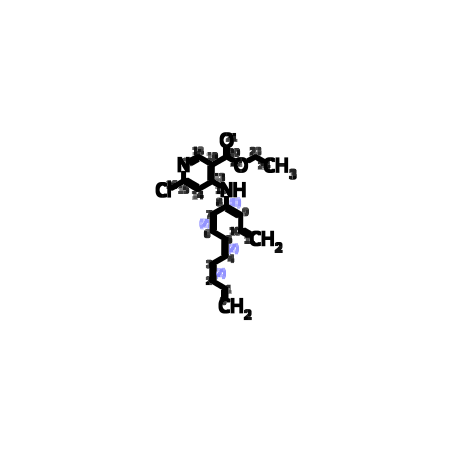 C=C\C=C/C=C\C=C/C(=C\C=C)Nc1cc(Cl)ncc1C(=O)OCC